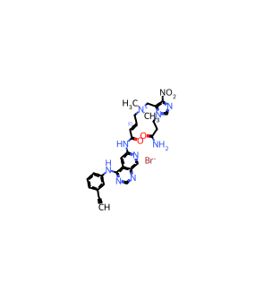 C#Cc1cccc(Nc2ncnc3cnc(NC(=O)/C=C/C[N+](C)(C)Cc4c([N+](=O)[O-])ncn4CCC(N)=O)cc23)c1.[Br-]